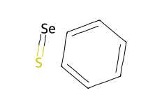 S=[Se].c1ccccc1